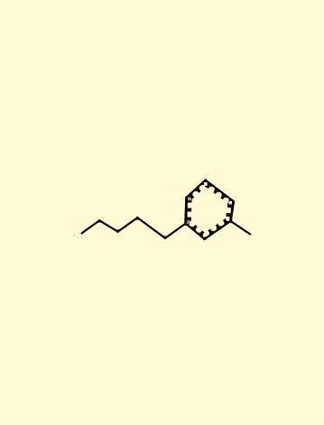 NCCCCc1cccc(Br)c1